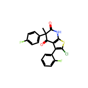 CC1(c2ccc(F)cc2)C(=O)Nc2sc(Cl)c(-c3ccccc3F)c2C1=O